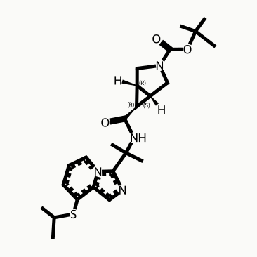 CC(C)Sc1cccn2c(C(C)(C)NC(=O)[C@H]3[C@@H]4CN(C(=O)OC(C)(C)C)C[C@@H]43)ncc12